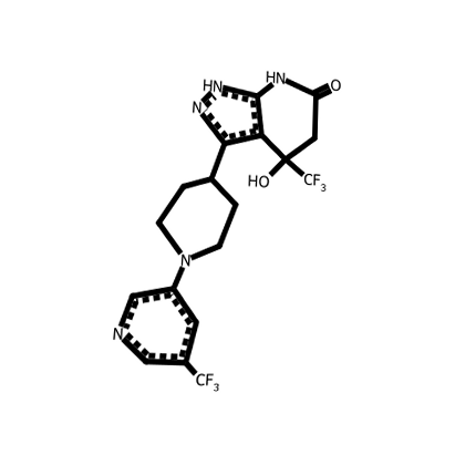 O=C1CC(O)(C(F)(F)F)c2c(C3CCN(c4cncc(C(F)(F)F)c4)CC3)n[nH]c2N1